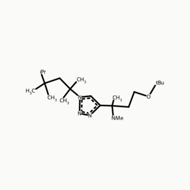 CNC(C)(CCOC(C)(C)C)c1cn(C(C)(C)CC(C)(C)C(C)C)nn1